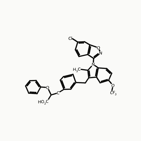 Cc1c(Cc2cccc(CC(Oc3ccccc3)C(=O)O)c2)c2cc(OC(F)(F)F)ccc2n1-c1noc2cc(Cl)ccc12